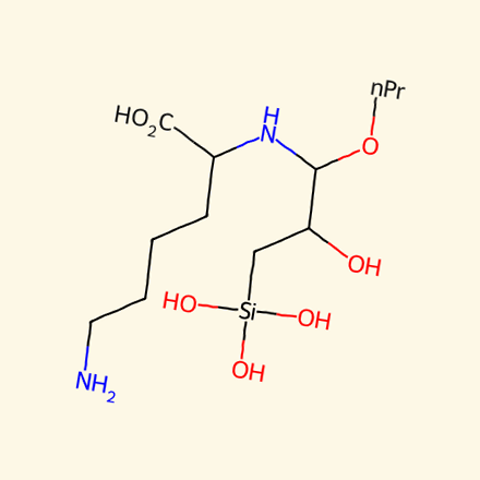 CCCOC(NC(CCCCN)C(=O)O)C(O)C[Si](O)(O)O